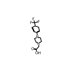 O=C(O)CN1CCN(C2=CCC(C(F)(F)F)C=C2)CC1